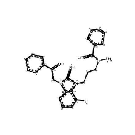 CN(CCCn1c(=N)n(CC(=O)c2ccccc2)c2cccc(Cl)c21)C(=O)c1ccccc1